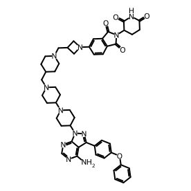 Nc1ncnc2c1c(-c1ccc(Oc3ccccc3)cc1)nn2C1CCN(C2CCN(CC3CCN(CC4CN(c5ccc6c(c5)C(=O)N(C5CCC(=O)NC5=O)C6=O)C4)CC3)CC2)CC1